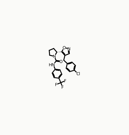 O=C(Nc1ccc(C(F)(F)F)cc1)N1CCC[C@@H]1c1oncc1Cc1ccc(Cl)cc1